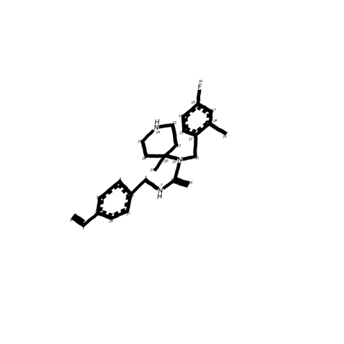 C=Cc1ccc(CNC(=C)N(Cc2ccc(F)cc2C)C2(C)CCNCC2)cc1